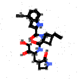 C=CC12CN(C(=O)c3cc4c(OC)cccc4[nH]3)C(C(=O)N[C@@H](C[C@@H]3CCNC3=O)C(=O)CO)(C1)C2